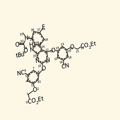 CCOC(=O)COc1cc(C#N)cc(Oc2nc(Oc3cc(C#N)cc(OCC(=O)OCC)c3)c3c(n2)[nH]c2c(N(C)C(=O)OC(C)(C)C)cc(F)cc23)c1